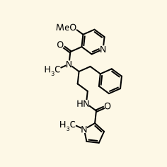 COc1ccncc1C(=O)N(C)C(CCNC(=O)c1cccn1C)Cc1ccccc1